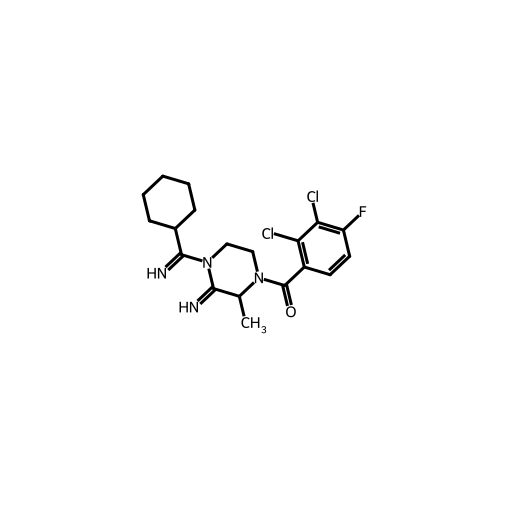 CC1C(=N)N(C(=N)C2CCCCC2)CCN1C(=O)c1ccc(F)c(Cl)c1Cl